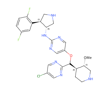 CO[C@@H]1CNCC[C@H]1C(Oc1cnc(N[C@H]2CNC[C@@H]2c2cc(F)ccc2F)nc1)c1ncc(Cl)cn1